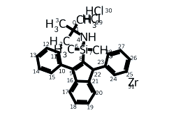 CC(C)(C)N[Si](C)(C)C1=C(c2ccccc2)c2ccccc2C1c1ccccc1.Cl.Cl.[Zr]